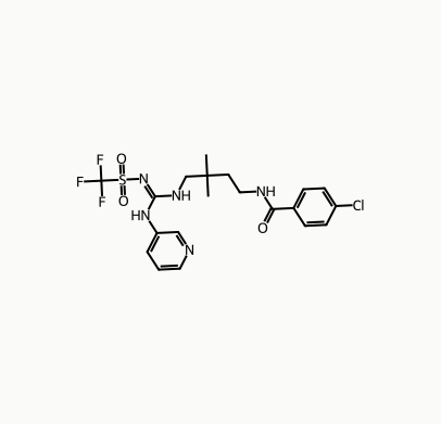 CC(C)(CCNC(=O)c1ccc(Cl)cc1)CNC(=NS(=O)(=O)C(F)(F)F)Nc1cccnc1